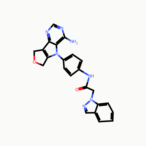 Nc1ncnc2c3c(n(-c4ccc(NC(=O)Cn5ncc6ccccc65)cc4)c12)COC3